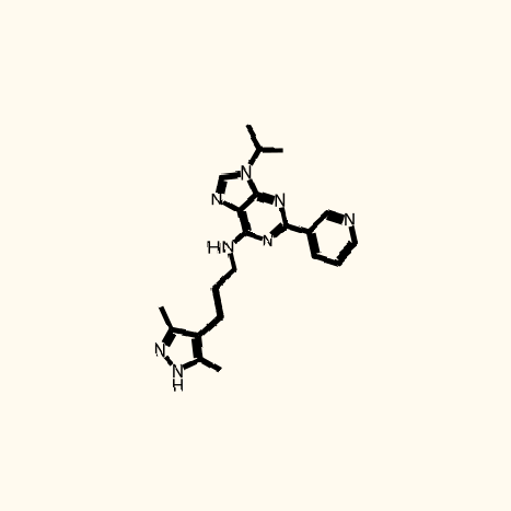 Cc1n[nH]c(C)c1CCCNc1nc(-c2cccnc2)nc2c1ncn2C(C)C